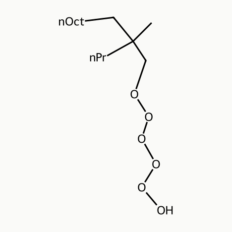 CCCCCCCCCC(C)(CCC)COOOOOO